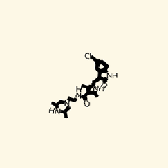 Cc1[nH]c(/C=C2\C(=O)Nc3ccc(Cl)cc32)c(C)c1C(=O)NCCN1CC(C)NC(C)C1